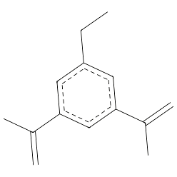 C=C(C)c1cc(CC)cc(C(=C)C)c1